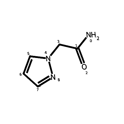 NC(=O)Cn1cc[c]n1